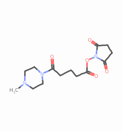 CN1CCN(C(=O)CCCC(=O)ON2C(=O)CCC2=O)CC1